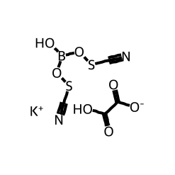 N#CSOB(O)OSC#N.O=C([O-])C(=O)O.[K+]